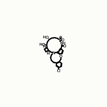 O=C1NS(=O)(=O)CCC[C@@H](O)C[C@H](O)[C@@H]2CC[C@H]2CN2CCCCc3cc(Cl)ccc3COc3ccc1cc32